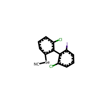 N#C[Se]c1cccc(Cl)c1-c1c(Cl)cccc1I